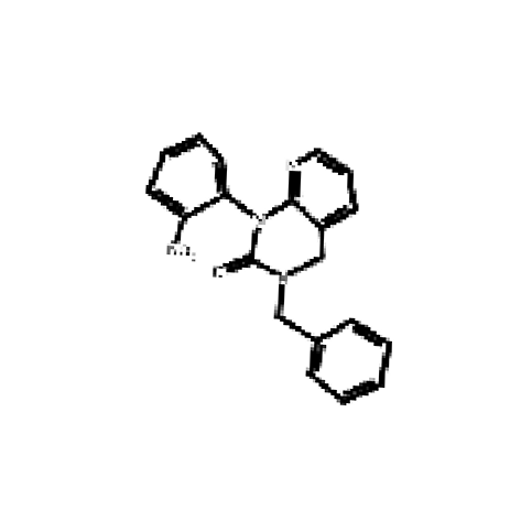 O=C1N(Cc2ccccc2)Cc2cccnc2N1c1ccccc1[N+](=O)[O-]